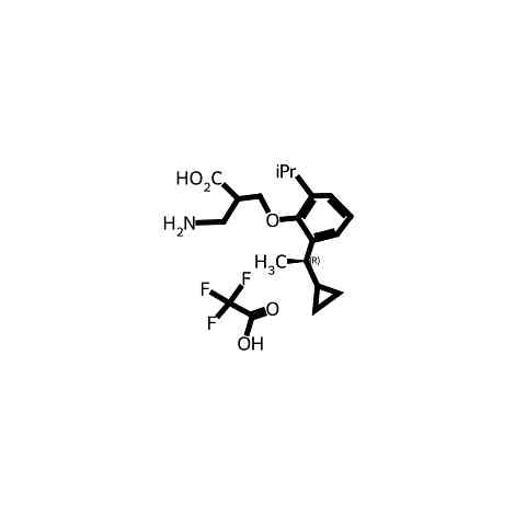 CC(C)c1cccc([C@H](C)C2CC2)c1OCC(CN)C(=O)O.O=C(O)C(F)(F)F